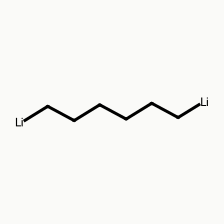 [Li][CH2]CCCC[CH2][Li]